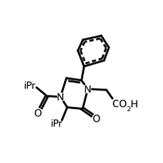 CC(C)C(=O)N1C=C(c2ccccc2)N(CC(=O)O)C(=O)C1C(C)C